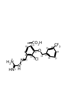 CC(=O)O.N=C(N)NN=Cc1cccc(OCc2cccc(C(F)(F)F)c2)c1Cl